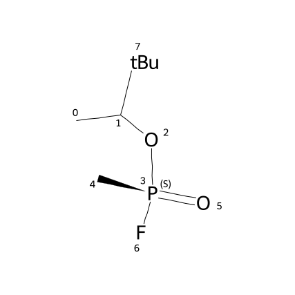 CC(O[P@](C)(=O)F)C(C)(C)C